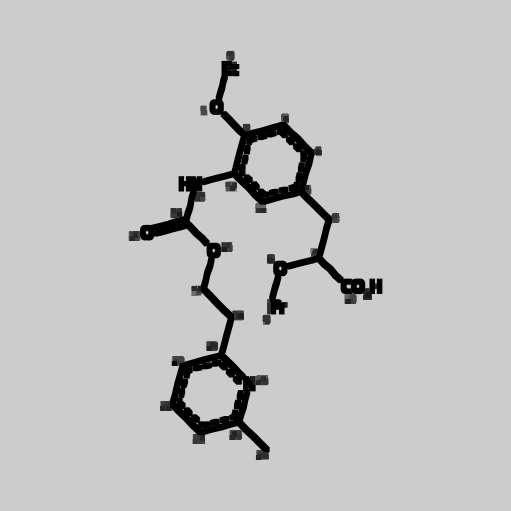 CCOc1ccc(CC(OC(C)C)C(=O)O)cc1NC(=O)OCCc1cccc(C)n1